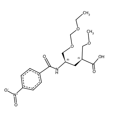 CCOCOC[C@@H](C[C@@H](COC)C(=O)O)NC(=O)c1ccc([N+](=O)[O-])cc1